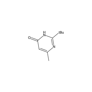 Cc1cc(=O)[nH]c(C(C)(C)C)n1